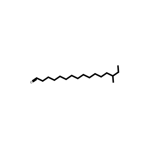 CCC(C)CCCCCCCCCCCC[C]=O